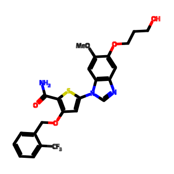 COc1cc2c(cc1OCCCO)ncn2-c1cc(OCc2ccccc2C(F)(F)F)c(C(N)=O)s1